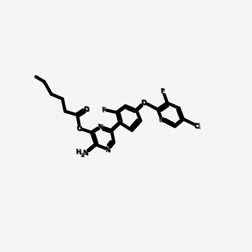 CCCCCC(=O)Oc1nc(-c2ccc(Oc3ncc(Cl)cc3F)cc2F)cnc1N